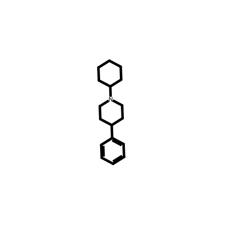 [c]1cccc(C2CCN(C3CCCCC3)CC2)c1